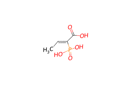 C/C=C(/C(=O)O)P(=O)(O)O